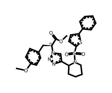 COC(=O)[C@H](Cc1ccc(OC)cc1)n1cc(C2CCCCN2S(=O)(=O)c2ccc(-c3ccccc3)s2)nn1